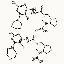 O=C(O)NC[C@@H](CC1CCCC1)C(=O)NNc1nc(Cl)nc(N2CCOCC2)c1F.O=C(O)NC[C@@H](CC1CCCC1)C(=O)NNc1nc(Cl)nc(N2CCOCC2)c1F